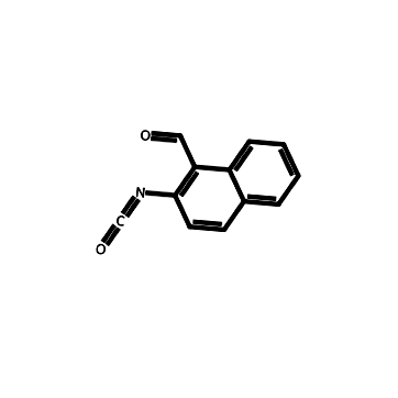 O=C=Nc1ccc2ccccc2c1C=O